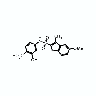 COc1ccc2sc(S(=O)(=O)Nc3ccc(C(=O)O)c(O)c3)c(C)c2c1